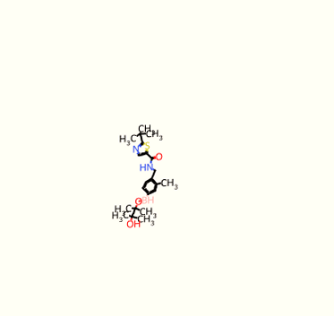 Cc1cc(BOC(C)(C)C(C)(C)O)ccc1CNC(=O)c1cnc(C(C)(C)C)s1